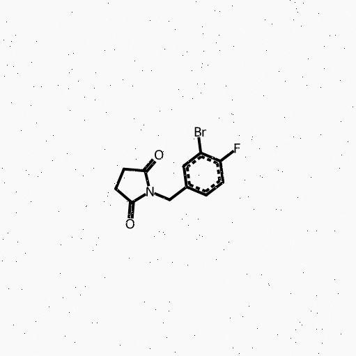 O=C1CCC(=O)N1Cc1ccc(F)c(Br)c1